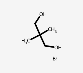 CC(C)(CO)CO.[B]